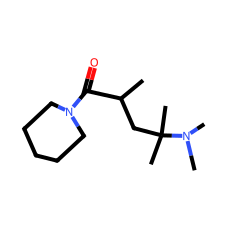 CC(CC(C)(C)N(C)C)C(=O)N1CCCCC1